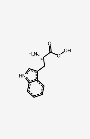 N[C@@H](Cc1c[nH]c2ccccc12)C(=O)OO